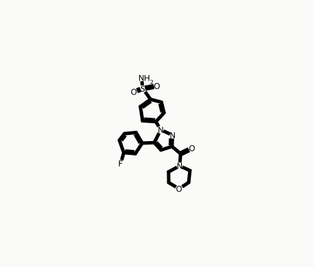 NS(=O)(=O)c1ccc(-n2nc(C(=O)N3CCOCC3)cc2-c2cccc(F)c2)cc1